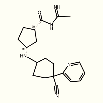 CC(=N)NC(=O)[C@H]1CC[C@@H](NC2CCC(C#N)(c3ccccn3)CC2)C1